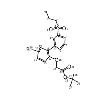 CCCS(=O)(=O)c1cccc(-c2cc(Br)ccc2OCC(=O)OC(C)(C)C)c1